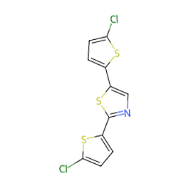 Clc1ccc(-c2cnc(-c3ccc(Cl)s3)s2)s1